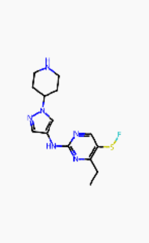 CCc1nc(Nc2cnn(C3CCNCC3)c2)ncc1SF